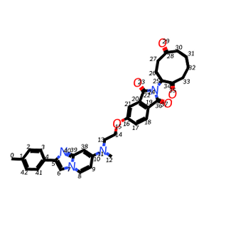 Cc1ccc(-c2cn3ccc(N(C)CCOc4ccc5c(c4)C(=O)N(C4CCC(=O)CCCCC4=O)C5=O)cc3n2)cc1